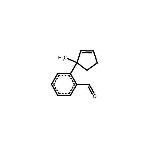 CC1(c2ccccc2C=O)C=CCC1